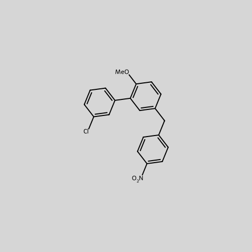 COc1ccc(Cc2ccc([N+](=O)[O-])cc2)cc1-c1cccc(Cl)c1